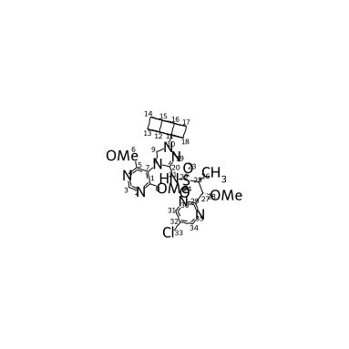 COc1ncnc(OC)c1N1CN(C23C4C5C6C4C2C6C53)N=C1NS(=O)(=O)[C@@H](C)[C@H](OC)c1ncc(Cl)cn1